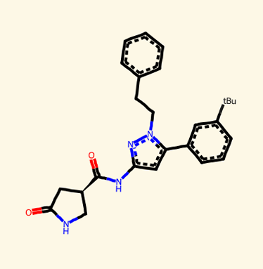 CC(C)(C)c1cccc(-c2cc(NC(=O)[C@H]3CNC(=O)C3)nn2CCc2ccccc2)c1